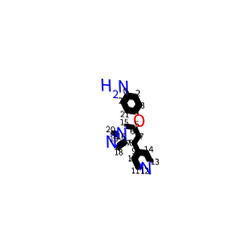 Nc1ccc(OC(CCc2ccncc2)Cn2ccnc2)cc1